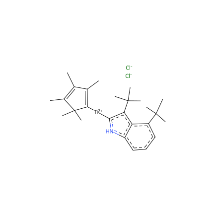 CC1=C(C)C(C)(C)[C]([Ti+2][c]2[nH]c3cccc(C(C)(C)C)c3c2C(C)(C)C)=C1C.[Cl-].[Cl-]